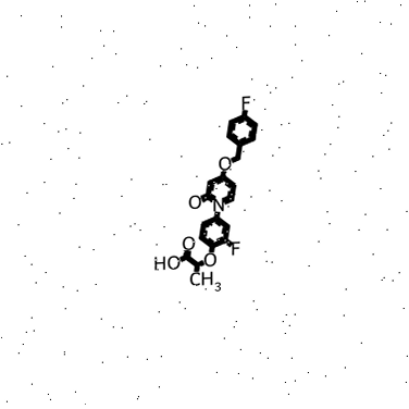 CC(Oc1ccc(-n2ccc(OCc3ccc(F)cc3)cc2=O)cc1F)C(=O)O